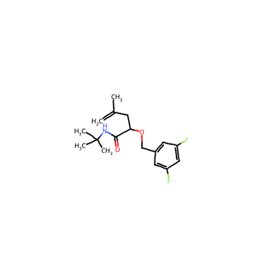 C=C(C)CC(OCc1cc(F)cc(F)c1)C(=O)NC(C)(C)C